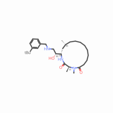 C[C@@H]1CCCCCCCCC(=O)N(C)[C@@H](C)C(=O)N[C@H]([C@H](O)CNCc2cccc(C(C)(C)C)c2)C1